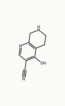 N#Cc1cnc2c(c1O)CCNC2